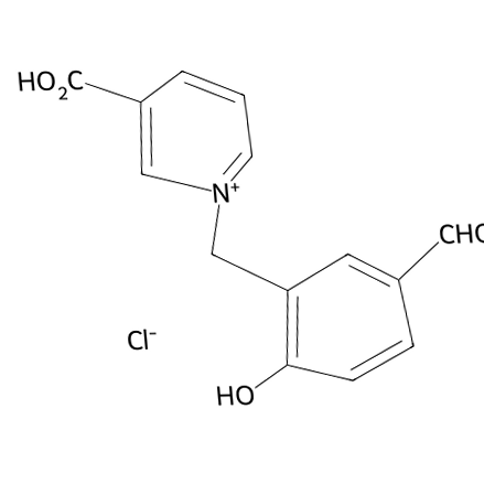 O=Cc1ccc(O)c(C[n+]2cccc(C(=O)O)c2)c1.[Cl-]